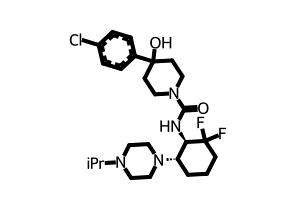 CC(C)N1CCN([C@H]2CCCC(F)(F)[C@@H]2NC(=O)N2CCC(O)(c3ccc(Cl)cc3)CC2)CC1